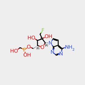 Nc1ncnc2c1ccn2[C@@H]1O[C@H](COP(O)CO)C(O)[C@]1(O)CF